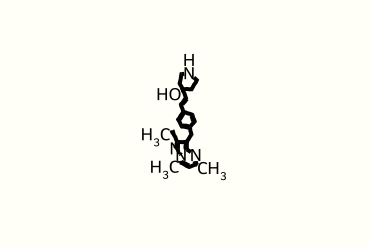 CCc1nn2c(C)cc(C)nc2c1Cc1ccc(/C=C/C2(O)CCNCC2)cc1